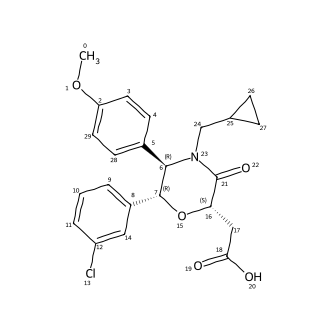 COc1ccc([C@@H]2[C@@H](c3cccc(Cl)c3)O[C@@H](CC(=O)O)C(=O)N2CC2CC2)cc1